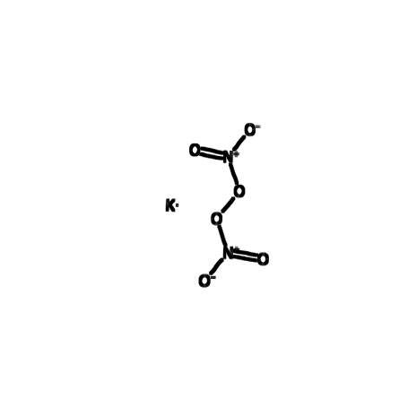 O=[N+]([O-])OO[N+](=O)[O-].[K]